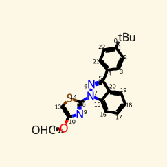 CC(C)(C)c1ccc(-c2nn(-c3nc(OC=O)cs3)c3ccccc23)cc1